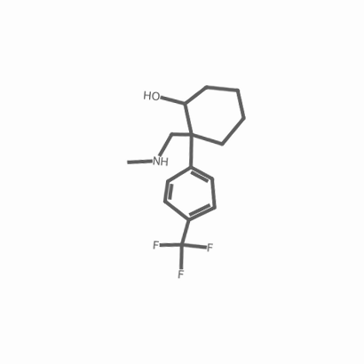 CNCC1(c2ccc(C(F)(F)F)cc2)CCCCC1O